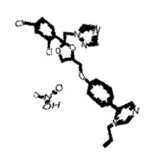 CCCn1cncc1-c1ccc(OCC2COC(Cn3cncn3)(c3ccc(Cl)cc3Cl)O2)cc1.O=[N+]([O-])O